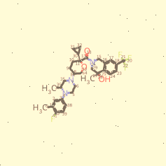 Cc1cc(N2CCN([C@@H]3CC[C@@](C(=O)N4Cc5cc(C(F)(F)F)ccc5[C@@](C)(O)C4)(C4CC4)OC3)CC2C)ccc1F